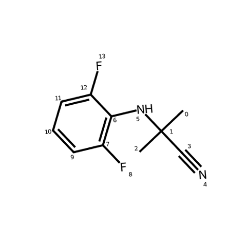 CC(C)(C#N)Nc1c(F)cccc1F